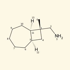 C[C@@]1(CN)C[C@H]2CCCCC[C@H]21